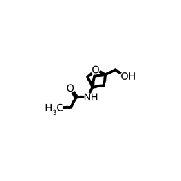 CCC(=O)NC12COC(CO)(C1)C2